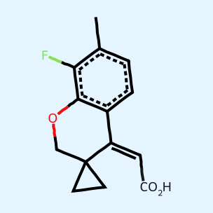 Cc1ccc2c(c1F)OCC1(CC1)/C2=C\C(=O)O